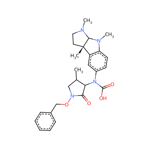 CC1CN(OCc2ccccc2)C(=O)C1N(C(=O)O)c1ccc2c(c1)[C@]1(C)CCN(C)C1N2C